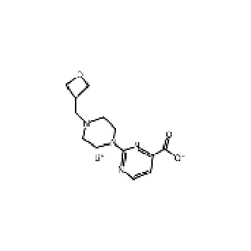 O=C([O-])c1ccnc(N2CCN(CC3COC3)CC2)n1.[Li+]